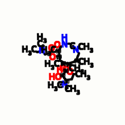 CCN(CC)CC(=O)O[C@H]1C(C)[C@@H](O[C@@H]2OC(C)C[C@H](N(C)C)[C@H]2O)[C@](C)(O)C[C@@H](C)CN(C)CCNC(=O)[C@@H]1C